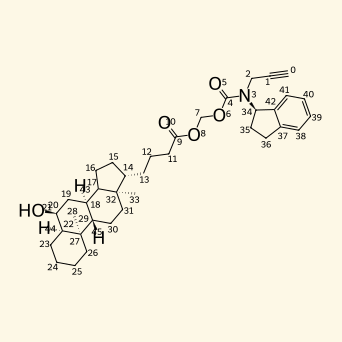 C#CCN(C(=O)OCOC(=O)CCC[C@H]1CCC2[C@@H]3C[C@H](O)[C@@H]4CCCC[C@]4(C)[C@H]3CC[C@@]21C)[C@@H]1CCc2ccccc21